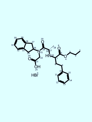 Br.CCCOC(=O)C(CCc1ccccc1)N[C@@H](C)C(=O)N(CC(=O)O)C1Cc2ccccc2C1